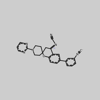 [C-]#[N+]c1cccc(-c2ccc3c(c2)/C(=N/C#N)CC2(CCN(c4ncccn4)CC2)O3)c1